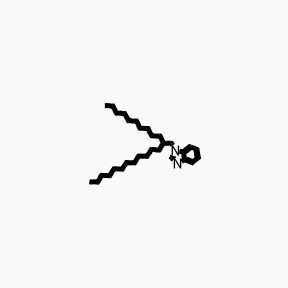 CCCCCCCCCCCCC(CCCCCCCCCC)Cn1cnc2ccccc21